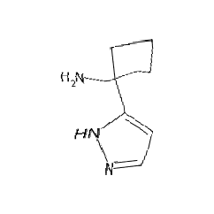 NC1(c2ccn[nH]2)CCC1